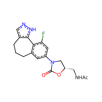 CC(=O)NC[C@H]1CN(c2cc(F)c3c(c2)CCCc2cn[nH]c2-3)C(=O)O1